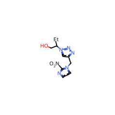 CCC(CO)n1cc(Cn2ccnc2[N+](=O)[O-])nn1